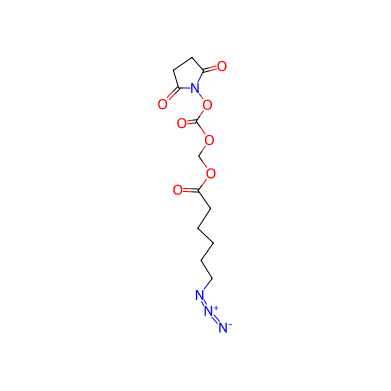 [N-]=[N+]=NCCCCCC(=O)OCOC(=O)ON1C(=O)CCC1=O